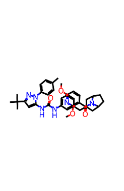 COc1ccc(C(=O)N2C3CCC2CC(Cc2cccc(NC(=O)Nc4cc(C(C)(C)C)nn4-c4ccc(C)cc4)c2)C3)c(OC)n1